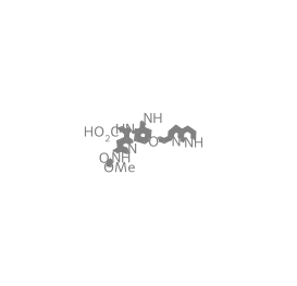 COC(=O)NCc1cncc(C(CC(=O)O)Nc2ccc(OCCc3ccc4c(n3)NCCC4)cc2C=N)c1